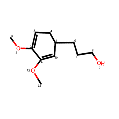 COC1=CCC(CCCO)C=C1OC